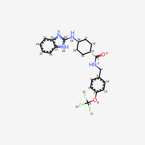 O=C(NCc1ccc(OC(F)(F)F)cc1)[C@H]1CC[C@H](Nc2nc3ccccc3[nH]2)CC1